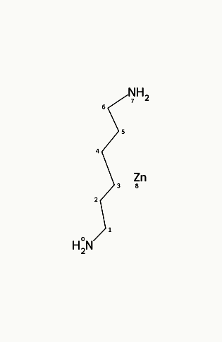 NCCCCCCN.[Zn]